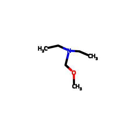 CCN(CC)COC